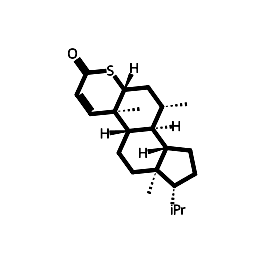 CC(C)[C@H]1CC[C@H]2[C@@H]3[C@@H](C)C[C@H]4SC(=O)C=C[C@]4(C)[C@H]3CC[C@]12C